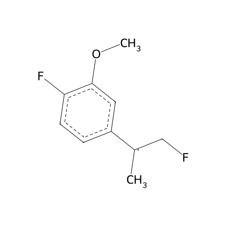 COc1cc([C](C)CF)ccc1F